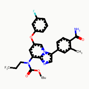 Cc1cc(-c2cnc3c(N(CCC(F)(F)F)C(=O)OC(C)(C)C)cc(Oc4cccc(F)c4)cn23)ccc1C(N)=O